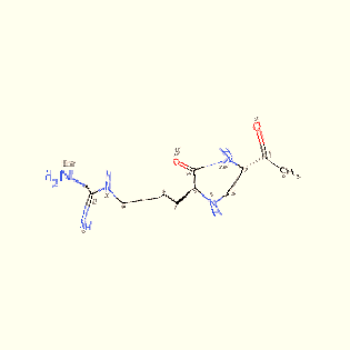 CC(=O)[C@@H]1CN[C@@H](CCCNC(=N)N)C(=O)N1